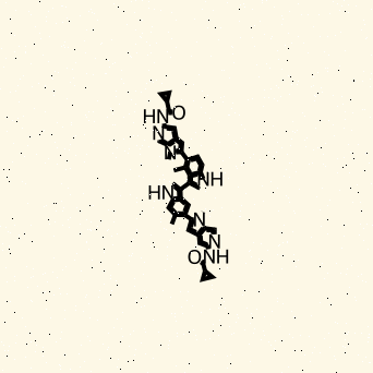 Cc1cc2[nH]cc(-c3c[nH]c4ccc(-c5cc6cc(NC(=O)C7CC7)ncc6n5C)c(C)c34)c2cc1-c1cc2cc(NC(=O)C3CC3)ncc2n1C